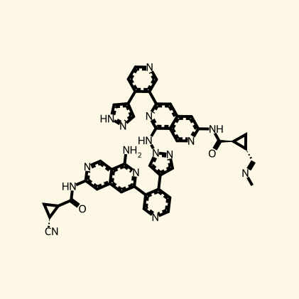 CN=C[C@H]1C[C@@H]1C(=O)Nc1cc2cc(-c3cnccc3-c3cn[nH]c3)nc(Nn3cc(-c4ccncc4-c4cc5cc(NC(=O)C6C[C@H]6C#N)ncc5c(N)n4)cn3)c2cn1